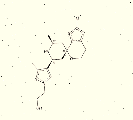 Cc1nn(CCO)cc1[C@@H]1C[C@]2(C[C@H](C)N1)OCCc1cc(Cl)sc12